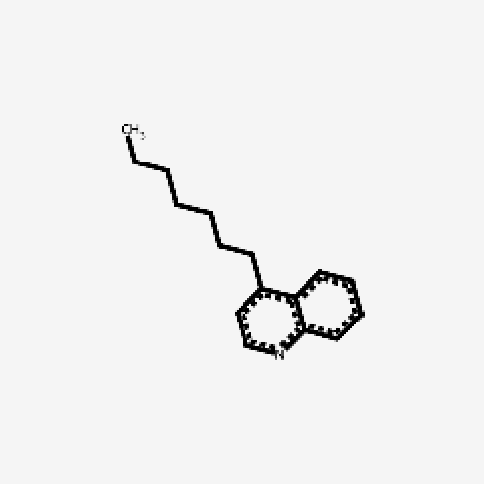 CCCCCCCc1ccnc2ccccc12